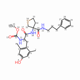 Cc1cc(O)cc(C)c1CC(NC(=O)OC(C)(C)C)C(=O)NC1(C(=O)NCCCc2ccccc2)CCSC1